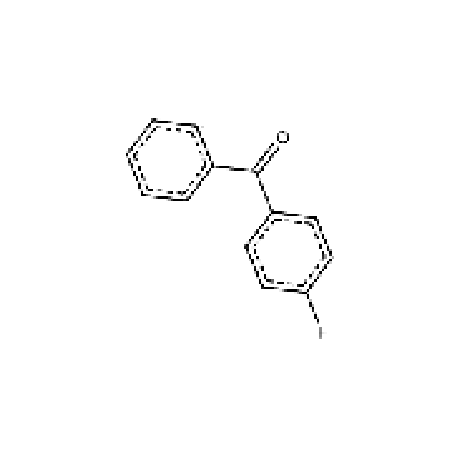 O=C(c1[c]cccc1)c1ccc(F)cc1